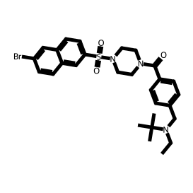 CCN(Cc1ccc(C(=O)N2CCN(S(=O)(=O)c3ccc4cc(Br)ccc4c3)CC2)cc1)C(C)(C)C